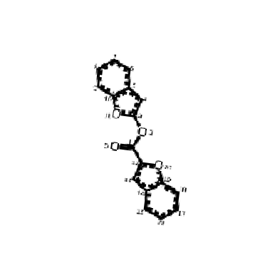 O=C(Oc1cc2ccccc2o1)c1cc2ccccc2o1